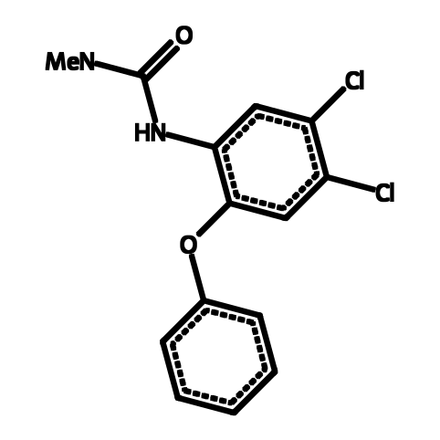 CNC(=O)Nc1cc(Cl)c(Cl)cc1Oc1ccccc1